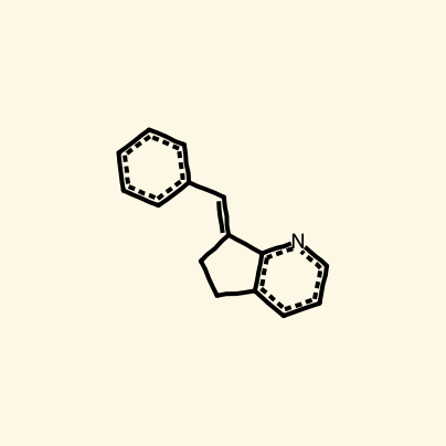 C(=C1CCc2cccnc21)c1ccccc1